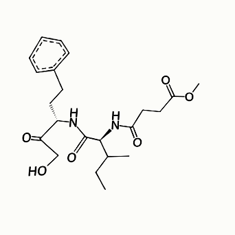 CCC(C)[C@H](NC(=O)CCC(=O)OC)C(=O)N[C@@H](CCc1ccccc1)C(=O)CO